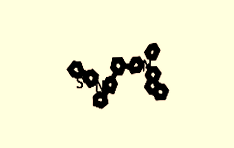 c1ccc(N(c2ccc(-c3cccc(-c4ccc5c6ccccc6n(-c6ccc7c(c6)sc6ccccc67)c5c4)c3)cc2)c2ccc3c(ccc4ccccc43)c2)cc1